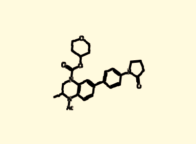 CC(=O)N1c2ccc(-c3ccc(N4CCCC4=O)cc3)cc2N(C(=O)OC2CCOCC2)CC1C